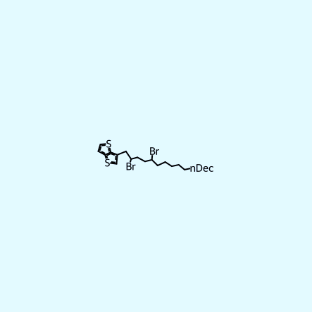 CCCCCCCCCCCCCCCC(Br)CCC(Br)Cc1csc2ccsc12